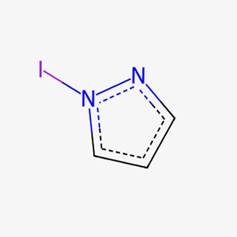 In1cccn1